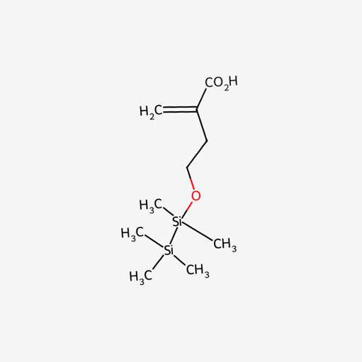 C=C(CCO[Si](C)(C)[Si](C)(C)C)C(=O)O